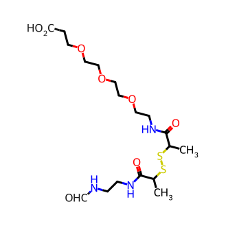 CC(SSC(C)C(=O)NCCOCCOCCOCCC(=O)O)C(=O)NCCNC=O